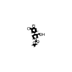 CC(C)(C)OC(=O)N1CC[C@H](c2ccc(Cl)c(Cl)c2)[C@@H](CO)C1